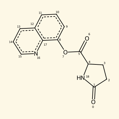 O=C1CCC(C(=O)Oc2cccc3cccnc23)N1